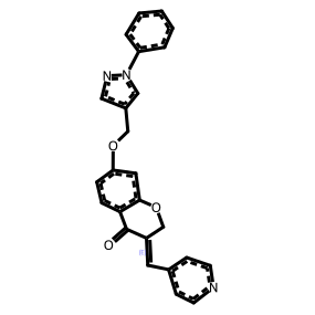 O=C1/C(=C/c2ccncc2)COc2cc(OCc3cnn(-c4ccccc4)c3)ccc21